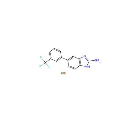 Br.Nc1nc2cc(-c3cccc(C(F)(F)F)c3)ccc2[nH]1